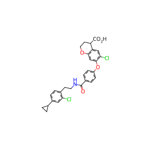 O=C(NCCc1ccc(C2CC2)cc1Cl)c1ccc(Oc2cc3c(cc2Cl)C(C(=O)O)CCO3)cc1